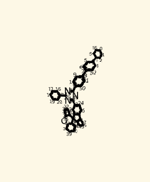 c1ccc(-c2ccc(-c3ccc(-c4nc(-c5ccccc5)nc(-c5ccc6c(c5)C5(c7ccccc7Oc7ccccc75)c5ccccc5-6)n4)cc3)cc2)cc1